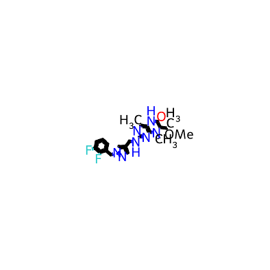 CO[C@H](C)C1C(=O)Nc2c(C)nc(NCc3cnn(Cc4cccc(F)c4F)c3)nc2N1C